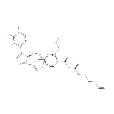 C=CCCCCC(=N)CC(=O)c1ccc(N/C2=C\C/C=C\C=C3\C(c4ccc(OC)c(F)c4F)=CN=C23)cc1CC(F)F